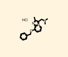 Cc1nc2c(OCc3ccccc3)cccn2c1CN(C)C.Cl